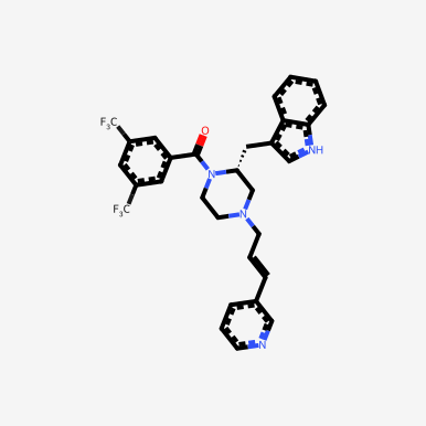 O=C(c1cc(C(F)(F)F)cc(C(F)(F)F)c1)N1CCN(CC=Cc2cccnc2)C[C@H]1Cc1c[nH]c2ccccc12